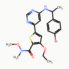 CCOc1cc(-c2cc(NC(C)c3ccc(Br)cc3)ncn2)sc1C(=O)N(C)OC